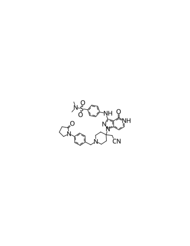 CN(C)S(=O)(=O)c1ccc(Nc2nn(C3(CC#N)CCN(Cc4ccc(N5CCCC5=O)cc4)CC3)c3cc[nH]c(=O)c23)cc1